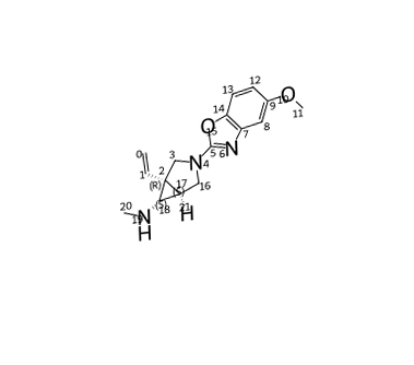 C=C[C@]12CN(c3nc4cc(OC)ccc4o3)C[C@H]1[C@@H]2NC